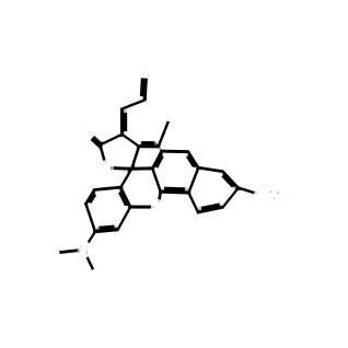 C=C/C=C1/C(=O)OC2(/C1=C/C)c1ccc(N(C)C)cc1Oc1c2ccc2cc(OC)ccc12